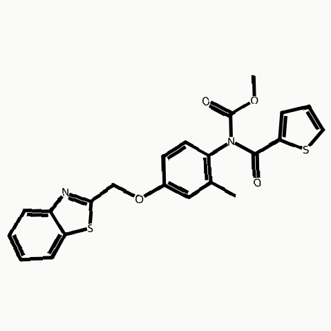 COC(=O)N(C(=O)c1cccs1)c1ccc(OCc2nc3ccccc3s2)cc1C